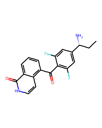 CC[C@@H](N)c1cc(F)c(C(=O)c2cccc3c(=O)[nH]ccc23)c(F)c1